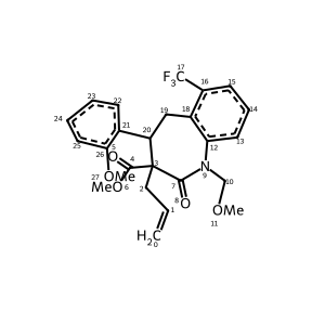 C=CCC1(C(=O)OC)C(=O)N(COC)c2cccc(C(F)(F)F)c2CC1c1ccccc1OC